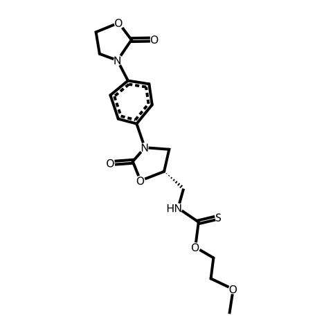 COCCOC(=S)NC[C@H]1CN(c2ccc(N3CCOC3=O)cc2)C(=O)O1